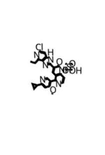 CCc1nc(Cl)cc2[nH]c(-c3cc4c(-c5cnc(C6CC6)cc5OC)nccc4[nH]c3=O)nc12.CS(=O)(=O)O